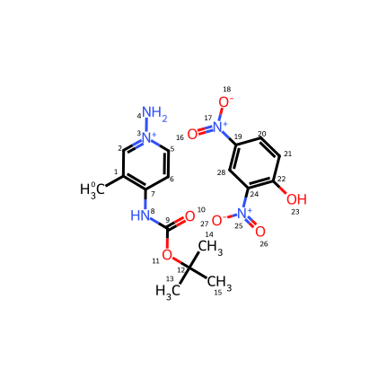 Cc1c[n+](N)ccc1NC(=O)OC(C)(C)C.O=[N+]([O-])c1ccc(O)c([N+](=O)[O-])c1